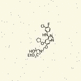 CCOC(=O)CN(CCOc1cc2ncnc(Nc3ccc(F)c(Cl)c3)c2cc1OC1CCCC1)CC(C)(C)O